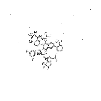 CC1Cc2c(C(F)F)nn(CC(=O)NC(Cc3cc(F)cc(F)c3)c3nc4cc(-c5ccccc5[S+](C)[O-])ccc4c(=O)n3-c3ccc(Cl)c4c(N[S+](C)[O-])nn(CC(F)F)c34)c2C1(F)F